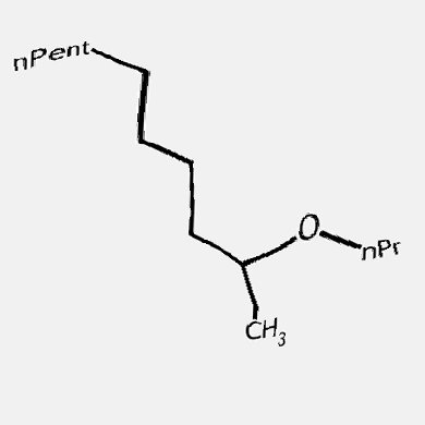 CCCCCCCCCC(C)OCCC